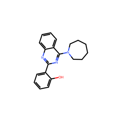 Oc1ccccc1-c1nc(N2CCCCCC2)c2ccccc2n1